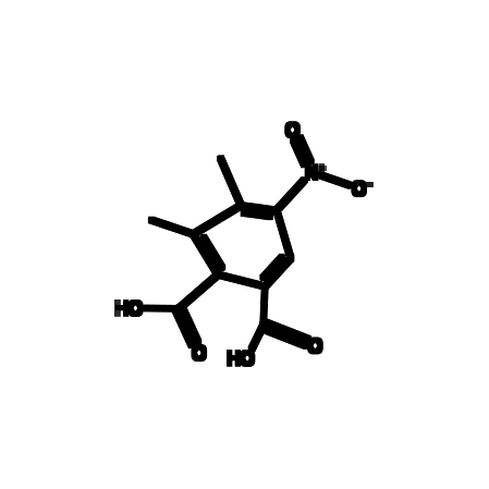 Cc1c([N+](=O)[O-])cc(C(=O)O)c(C(=O)O)c1C